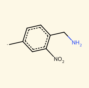 [CH2]c1ccc(CN)c([N+](=O)[O-])c1